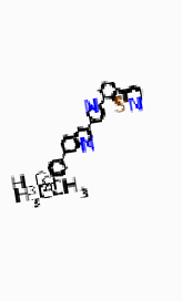 C[Si](C)(C)c1ccc(-c2ccc3cc(-c4ccc(-c5cccc6c5sc5ncccc56)nc4)cnc3c2)cc1